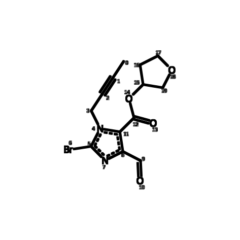 CC#CCn1c(Br)nc(C=O)c1C(=O)OC1CCOC1